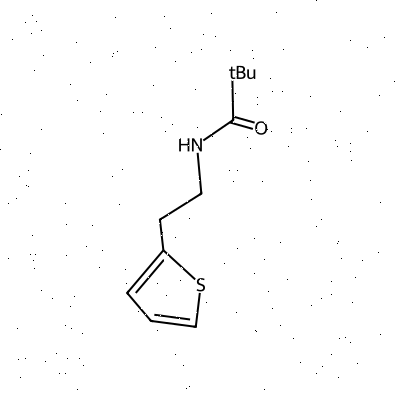 CC(C)(C)C(=O)NCCc1cccs1